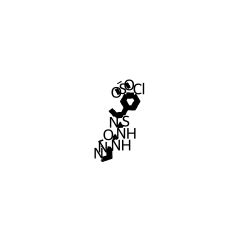 Cc1nc(NC(=O)Nc2ccnn2C)sc1-c1ccc(Cl)c(S(C)(=O)=O)c1